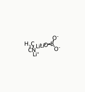 CC#N.[Li+].[Li+].[Li+].[O-]B([O-])[O-]